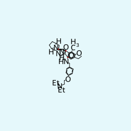 CCN(CC)CCOc1ccc(CNC(=O)c2ccc(N3[C@@H]4CC[C@H]3C[C@@H](NC(=O)c3ccc5c(c3C)OCC5)C4)nc2)cc1